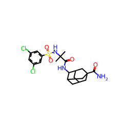 CC(C)(NS(=O)(=O)c1cc(Cl)cc(Cl)c1)C(=O)NC1C2CC3CC1CC(C(N)=O)(C3)C2